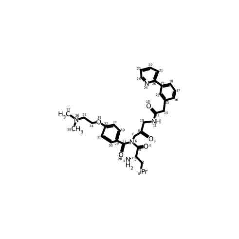 CC(C)C[C@H](N)C(=O)N(CC(=O)CNC(=O)Cc1cccc(-c2ccccn2)c1)C(=O)c1ccc(OCCN(C)C)cc1